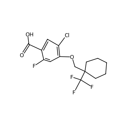 O=C(O)c1cc(Cl)c(OCC2(C(F)(F)F)CCCCC2)cc1F